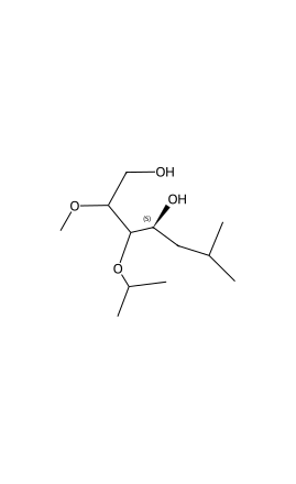 COC(CO)C(OC(C)C)[C@@H](O)CC(C)C